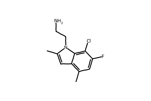 Cc1cc(F)c(Cl)c2c1cc(C)n2CCN